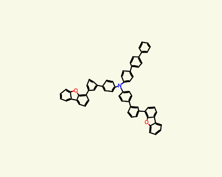 c1ccc(-c2ccc(-c3ccc(N(c4ccc(-c5cccc(-c6cccc7c6oc6ccccc67)c5)cc4)c4ccc(-c5cccc(-c6cccc7c6oc6ccccc67)c5)cc4)cc3)cc2)cc1